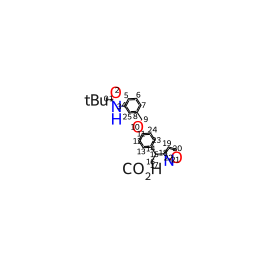 CC(C)(C)C(=O)Nc1cccc(COc2ccc(C(CC(=O)O)c3ccon3)cc2)c1